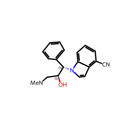 CNC[C@H](O)[C@H](c1ccccc1)n1ccc2c(C#N)cccc21